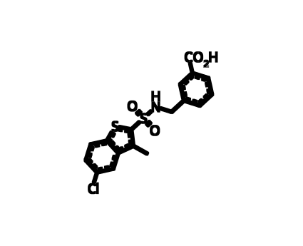 Cc1c(S(=O)(=O)NCc2cccc(C(=O)O)c2)sc2ccc(Cl)cc12